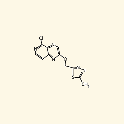 Cc1nnc(COc2cnc3c(Cl)nccc3n2)s1